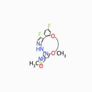 C[C@H]1CCCCOc2cc(F)ccc2-c2cc(ncc2F)Nc2cc(C[S@@](C)(=N)=O)cc(n2)O1